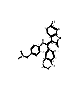 CN(C)Cc1ccc(NC(=C2C(=O)Nc3cc(Cl)ccc32)c2ccc3c(c2)OCCO3)cc1